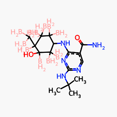 BC(B)(B)C1(B)C(B)(B)C(B)(B)C(Nc2nc(NC(C)(C)C)ncc2C(N)=O)C(B)(B)C1(B)O